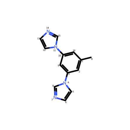 Cc1cc(-n2ccnc2)cc(-n2ccnc2)c1